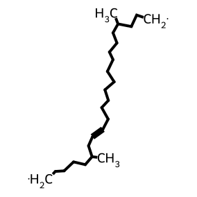 [CH2]CCCCC(C)CC#CCCCCCCCCCCC(C)CC[CH2]